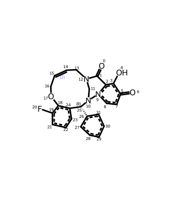 O=C1c2c(O)c(=O)ccn2N2CN1C/C=C\COc1c(F)cccc1[C@H]2c1ccccc1